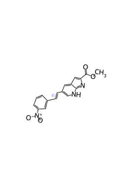 COC(=O)c1cc2cc(/C=C/c3cccc([N+](=O)[O-])c3)c[nH]c-2n1